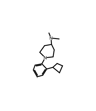 CN(C)C1CCN(c2cc[c]cc2C2CCC2)CC1